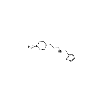 CN1CCN(CCCNCc2ccco2)CC1